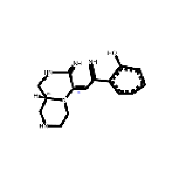 N=C1NC[C@H]2CNCCN2/C1=C/C(=N)c1ccccc1O